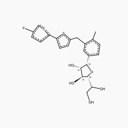 Cc1ccc([C@@H]2O[C@H](C(O)CO)[C@@H](O)[C@@H]2O)cc1Cc1ccc(-c2ccc(F)cc2)s1